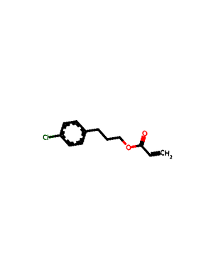 C=CC(=O)OCCCc1ccc(Cl)cc1